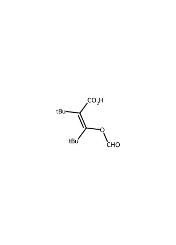 CC(C)(C)/C(OC=O)=C(/C(=O)O)C(C)(C)C